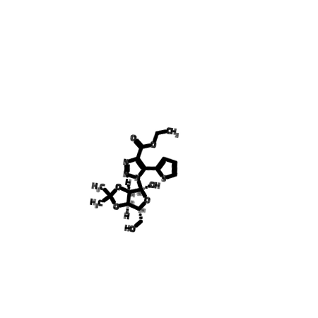 CCOC(=O)c1nnn([C@@]2(O)O[C@H](CO)[C@H]3OC(C)(C)O[C@H]32)c1-c1cccs1